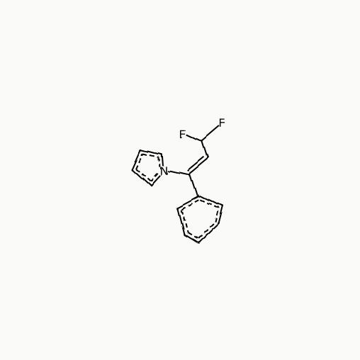 FC(F)C=C(c1ccccc1)n1cccc1